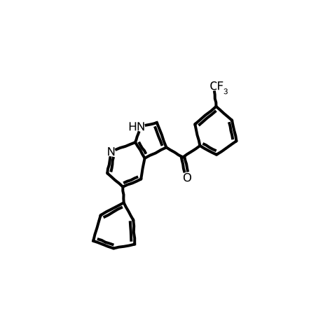 O=C(c1cccc(C(F)(F)F)c1)c1c[nH]c2ncc(-c3ccccc3)cc12